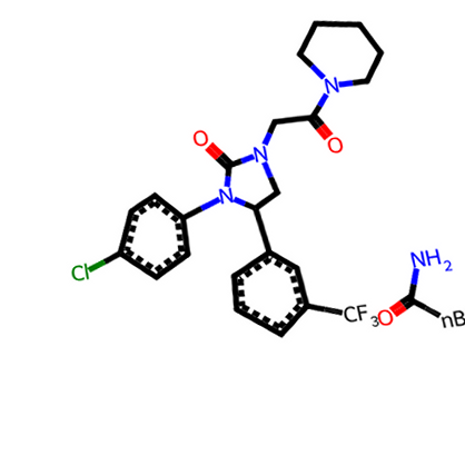 CCCCC(N)=O.O=C(CN1CC(c2cccc(C(F)(F)F)c2)N(c2ccc(Cl)cc2)C1=O)N1CCCCC1